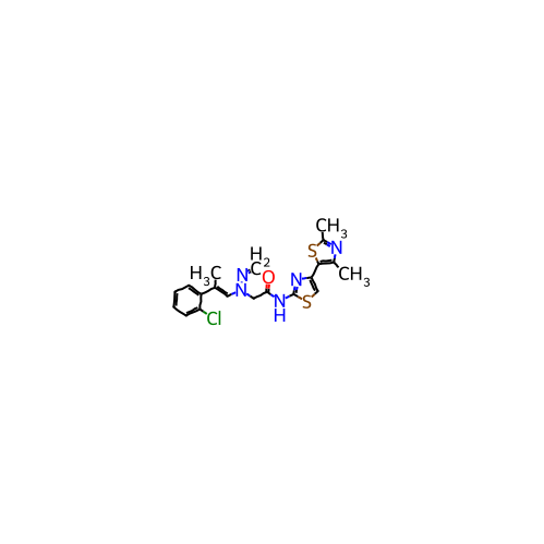 C=NN(/C=C(\C)c1ccccc1Cl)CC(=O)Nc1nc(-c2sc(C)nc2C)cs1